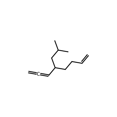 C=C=CC(CCC=C)CC(C)C